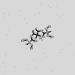 CCO[Si](C)(OCC)C(CC)OC(C)C(C)(N)C(C)OC(CC)[Si](C)(OCC)OCC